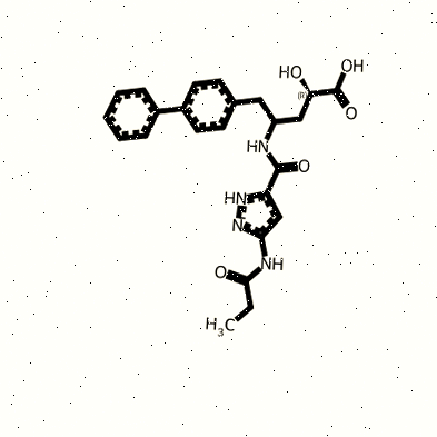 CCC(=O)Nc1cc(C(=O)NC(Cc2ccc(-c3ccccc3)cc2)C[C@@H](O)C(=O)O)[nH]n1